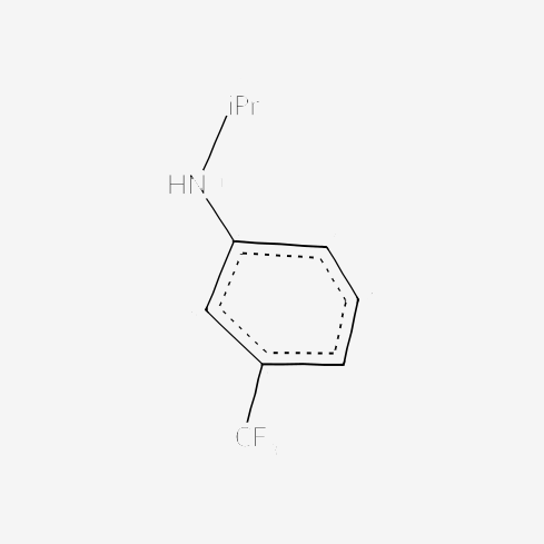 CC(C)Nc1cccc(C(F)(F)F)c1